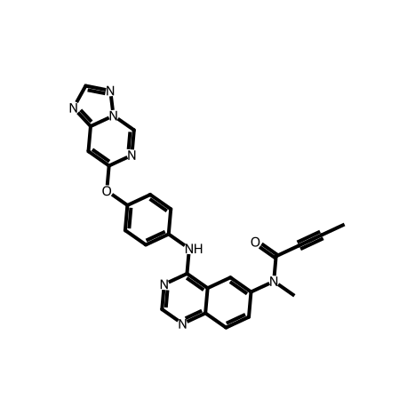 CC#CC(=O)N(C)c1ccc2ncnc(Nc3ccc(Oc4cc5ncnn5cn4)cc3)c2c1